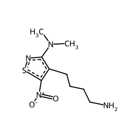 CN(C)c1nsc([N+](=O)[O-])c1CCCCN